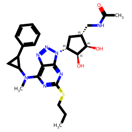 CCCSc1nc(N(C)C2CC2c2ccccc2)c2nnn([C@@H]3C[C@H](CNC(C)=O)[C@@H](O)[C@H]3O)c2n1